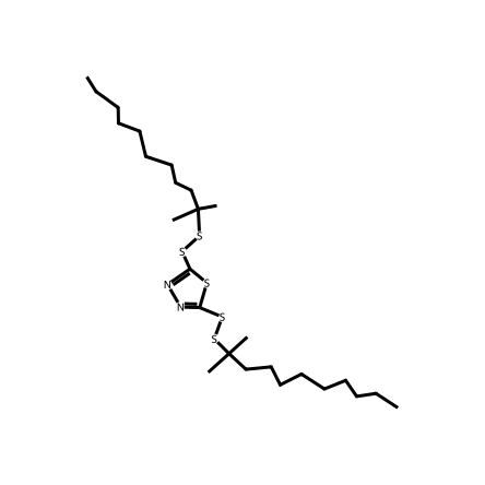 CCCCCCCCCC(C)(C)SSc1nnc(SSC(C)(C)CCCCCCCCC)s1